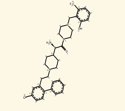 N[C@@H](C(=O)N1CCN(Cc2c(O)cccc2C(F)(F)F)CC1)C1CCN(CCc2cc(Cl)ccc2-c2ccccc2)CC1